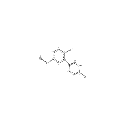 CCOc1ccc(I)c(-c2ccc(C)cc2)c1